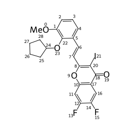 COc1cccc(C=Cc2oc3cc(F)c(F)cc3c(=O)c2I)c1OC1CCCC1